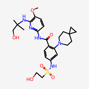 COc1ccc(NC(=O)c2ccc(NS(=O)(=O)CCO)cc2N2CCC3(CC2)CC3)nc1NC(C)(C)CO